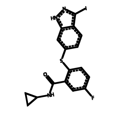 O=C(NC1CC1)c1cc(F)ccc1Sc1ccc2c(I)n[nH]c2c1